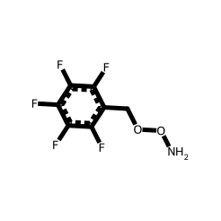 NOOCc1c(F)c(F)c(F)c(F)c1F